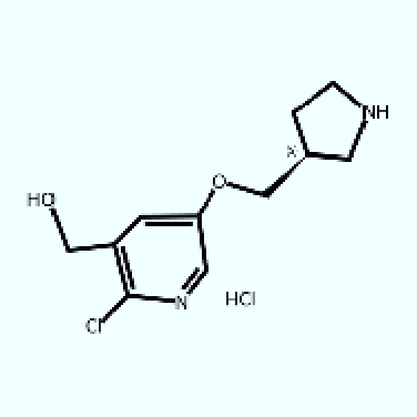 Cl.OCc1cc(OC[C@H]2CCNC2)cnc1Cl